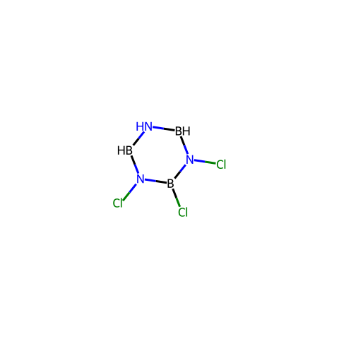 ClB1N(Cl)BNBN1Cl